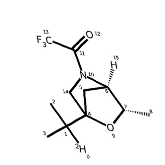 [2H]C(C)(C)C12C[C@H]([C@H](C)O1)N(C(=O)C(F)(F)F)C2